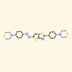 c1cc(N2CCSCC2)ccc1N=Nc1cc2sc(-c3ccc(N4CCSCC4)cc3)nc2s1